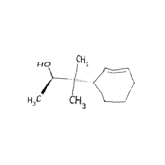 C[C@@H](O)C(C)(C)[C@@H]1C=CCCC1